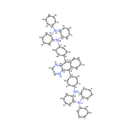 c1ccc(N2c3ccccc3N(c3ccc(-c4c5ccccc5c(-c5ccc(N6c7ccccc7N(c7ccccc7)c7ccccc76)cc5)c5nccnc45)cc3)c3ccccc32)cc1